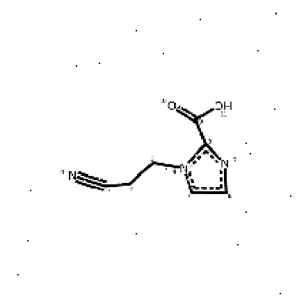 N#CCCn1ccnc1C(=O)O